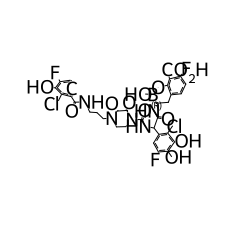 O=C(NCCCN1CCN(C(=O)NC(C(=O)N[C@H]2Cc3ccc(F)c(C(=O)O)c3OB2O)c2cc(F)c(O)c(O)c2Cl)C(=O)C1=O)c1ccc(F)c(O)c1Cl